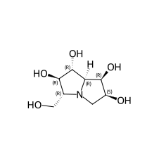 OC[C@@H]1[C@@H](O)[C@H](O)[C@H]2[C@@H](O)[C@@H](O)CN21